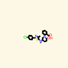 Cc1nc(-c2ccc(Cl)cc2)sc1N(C)C1CCCN(c2ccccc2C(=O)O)C1